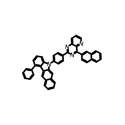 c1ccc(-c2cccc3c2c2cc4ccccc4cc2n3-c2ccc(-c3nc(-c4ccc5ccccc5c4)c4ncccc4n3)cc2)cc1